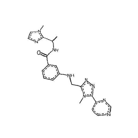 CC(NC(=O)c1cccc(NCc2nnc(-c3ccncn3)n2C)c1)c1nccn1C